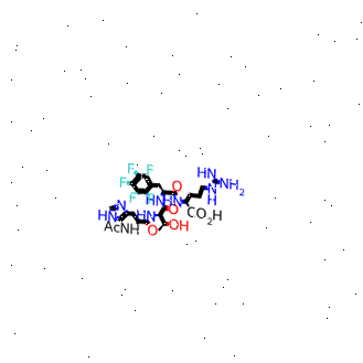 CC(=O)N[C@@H](Cc1c[nH]cn1)C(=O)N[C@@H](C(=O)N[C@@H](Cc1c(F)c(F)c(F)c(F)c1F)C(=O)N[C@@H](CCCNC(=N)N)C(=O)O)[C@H](C)O